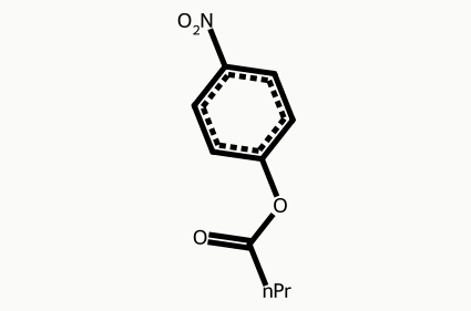 [CH2]CCC(=O)Oc1ccc([N+](=O)[O-])cc1